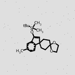 Cc1ccc2c(c1)C(O[Si](C)(C)C(C)(C)C)=CC21CCC2(CC1)OCCO2